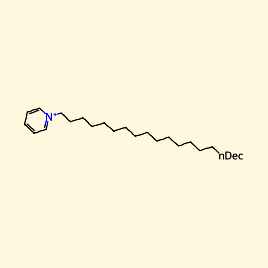 CCCCCCCCCCCCCCCCCCCCCCCCC[n+]1ccccc1